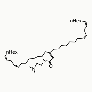 CCCCCC/C=C\C/C=C\CCCCCCCC(=CC(=O)SCCN(C)C)CCCCCCC/C=C\C/C=C\CCCCCC